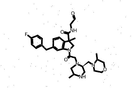 CC1CN(CC(=O)N2CC(C)(C(=O)NCC=O)c3ccc(Cc4ccc(F)cc4)cc32)[C@@H](CN2CCOCC2C)CN1